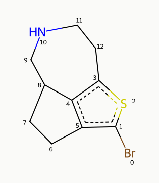 Brc1sc2c3c1CCC3CNCC2